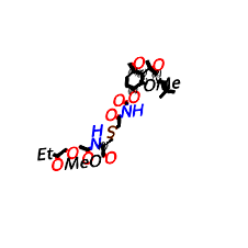 CCC(=O)COCC(=O)N[C@@H](CSCC(=O)NC(=O)O[C@@H]1CC[C@]2(CO2)[C@@H](C2(C)O[C@@H]2CC=C(C)C)[C@@H]1OC)C(=O)OC